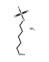 CCCCCCCCCCCOS(=O)(=O)F.N